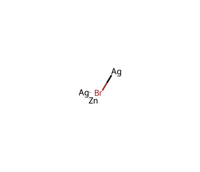 [Ag].[Br][Ag].[Zn]